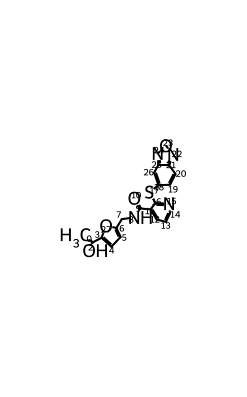 CC(O)c1ccc(CNC(=O)c2cccnc2Sc2ccc3nonc3c2)o1